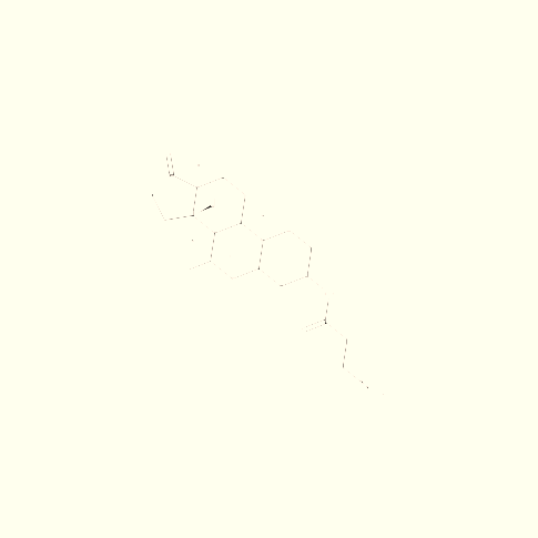 CC1CC2CC(OC(=O)CCN)CC[C@]2(C)[C@@H]2CC[C@]3(C)C(=O)CC[C@H]3[C@H]12